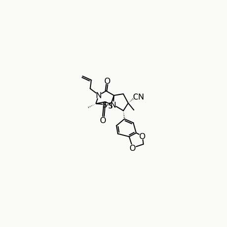 C=CCN1C(=O)C23C[C@](C)(C#N)[C@H](c4ccc5c(c4)OCO5)N2C(=O)[C@@]1(C)SS3